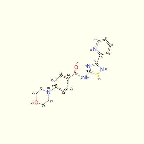 O=C(Nc1nc(-c2ccccn2)ns1)c1ccc(N2CCOCC2)cc1